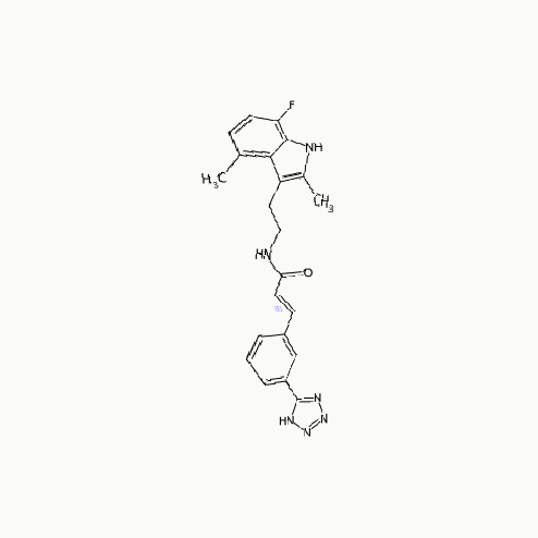 Cc1[nH]c2c(F)ccc(C)c2c1CCNC(=O)/C=C/c1cccc(-c2nnn[nH]2)c1